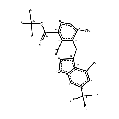 Cc1cc(C(F)(F)F)cc2occ(Cc3c(Cl)ccc(C(=O)OC(C)(C)C)c3Cl)c12